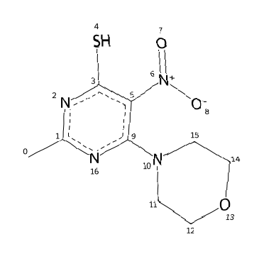 Cc1nc(S)c([N+](=O)[O-])c(N2CCOCC2)n1